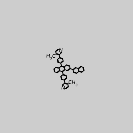 Cc1ccncc1-c1ccc(-c2c3ccccc3c(-c3ccc(-c4cnccc4C)cc3)c3cc(-c4ccc5ccccc5c4)ccc23)cc1